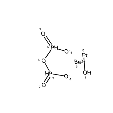 CCO.O=[PH]([O-])O[PH](=O)[O-].[Be+2]